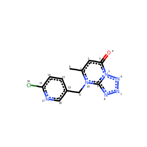 Cc1cc(=O)n2nnnc2n1Cc1ccc(Cl)nc1